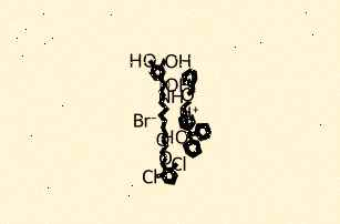 OC(c1ccccc1)(c1ccccc1)C12CC[N+](CCOCc3ccccc3)(CC1)CC2.OCc1cc([C@@H](O)CNCCCCCCOCCOCc2c(Cl)cccc2Cl)ccc1O.[Br-]